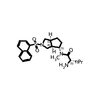 CCC[C@H](N)C(=O)N(C)[C@H]1CC[C@@H]2CN(S(=O)(=O)c3cccc4ccccc34)C[C@@H]21